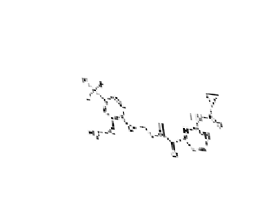 COc1cc(C(F)(F)F)ccc1OCCNC(=O)c1ccnc(NC(=O)C2CC2)n1